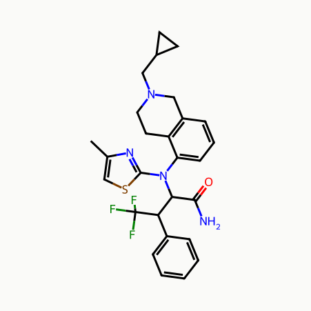 Cc1csc(N(c2cccc3c2CCN(CC2CC2)C3)C(C(N)=O)C(c2ccccc2)C(F)(F)F)n1